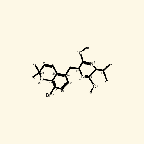 COC1=NC(C(C)C)C(OC)=NC1Cc1ccc(Br)c2c1C=CC(C)(C)O2